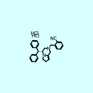 Cl.Cl.N#Cc1ccccc1CN1CC2=CCCN2[C@H](C(c2ccccc2)c2ccccc2)C1